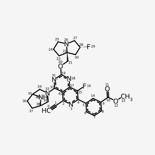 C#Cc1nc(-c2cccc(C(=O)OC)c2)c(F)c2nc(OC[C@@]34CCCN3C[C@H](F)C4)nc(N3CC4CCC(C3)N4)c12